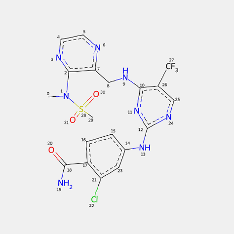 CN(c1nccnc1CNc1nc(Nc2ccc(C(N)=O)c(Cl)c2)ncc1C(F)(F)F)S(C)(=O)=O